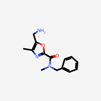 Cc1nc(C(=O)N(C)Cc2ccccc2)oc1CN